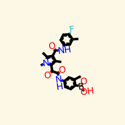 Cc1cc(NC(=O)c2c(C)c(C(=O)C(=O)Nc3ccc4c(c3)COB4O)n(C)c2C)ccc1F